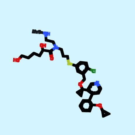 CSNCCN(CCCSc1ccc(Cl)c(COC2(c3cnccc3-c3ccccc3OC3CC3)CC2)c1)C(=O)C(O)CCCCO